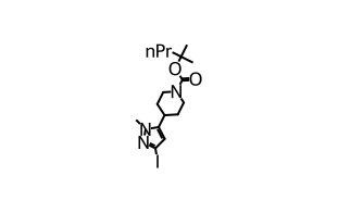 CCCC(C)(C)OC(=O)N1CCC(c2cc(I)nn2C)CC1